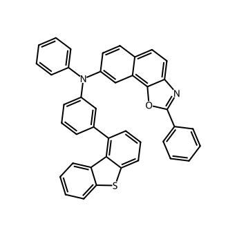 c1ccc(-c2nc3ccc4ccc(N(c5ccccc5)c5cccc(-c6cccc7sc8ccccc8c67)c5)cc4c3o2)cc1